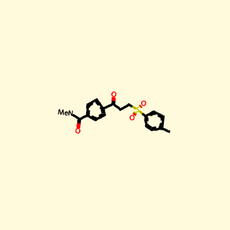 CNC(=O)c1ccc(C(=O)CCS(=O)(=O)c2ccc(C)cc2)cc1